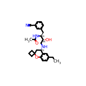 CCc1ccc2c(c1)[C@@H](NC[C@@H](O)[C@H](Cc1cccc(C#N)c1)NC(C)=O)CC1(CCC1)O2